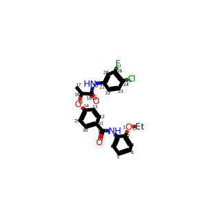 CCOc1ccccc1NC(=O)c1ccc(OC(C)C(=O)Nc2ccc(Cl)c(F)c2)cc1